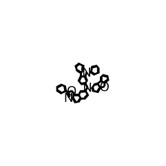 c1ccc(-c2nc3ccc4ccc(N(c5ccc6oc7ccccc7c6c5)c5ccc6c7ccccc7n(-c7ccccc7)c6c5)cc4c3o2)cc1